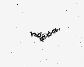 CC1(C)CN(c2ccc(-c3cn[nH]c3)cc2)C(=O)N1Cc1cccc(OCC2CC2)c1